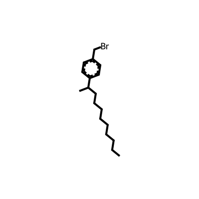 CCCCCCCCCC(C)c1ccc(CBr)cc1